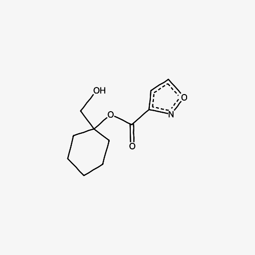 O=C(OC1(CO)CCCCC1)c1ccon1